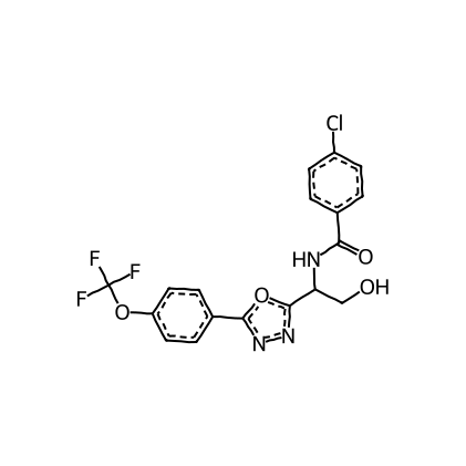 O=C(NC(CO)c1nnc(-c2ccc(OC(F)(F)F)cc2)o1)c1ccc(Cl)cc1